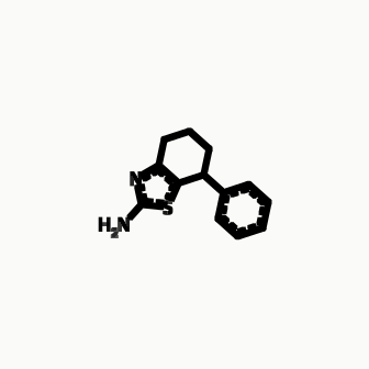 Nc1nc2c(s1)C(c1ccccc1)CCC2